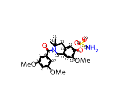 COc1cc(OC)cc(C(=O)N2Cc3cc(OC)c(OS(N)(=O)=O)cc3CC2(C)C)c1